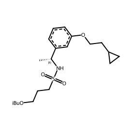 CC(C)COCCCS(=O)(=O)N[C@H](C)c1cccc(OCCC2CC2)c1